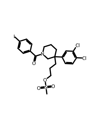 CS(=O)(=O)OCCCC1(c2ccc(Cl)c(Cl)c2)CCCN(C(=O)c2ccc(I)cc2)C1